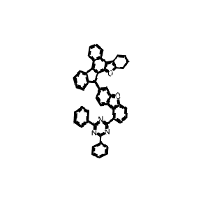 C1=Cc2c(oc3c4c(c5ccccc5c23)-c2ccccc2C4c2ccc3c(c2)oc2cccc(-c4nc(-c5ccccc5)nc(-c5ccccc5)n4)c23)CC1